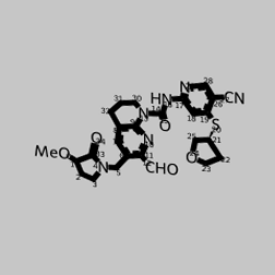 COC1CCN(Cc2cc3c(nc2C=O)N(C(=O)Nc2cc(S[C@@H]4CCOC4)c(C#N)cn2)CCC3)C1=O